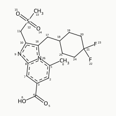 Cc1cc(C(=O)O)cc2nc(CS(C)(=O)=O)c(CC3CCC(F)(F)CC3)n12